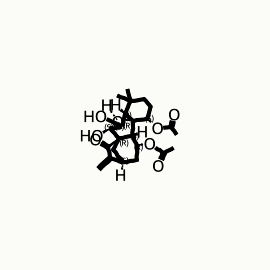 C=C1C(=O)[C@]23C[C@H]1C[C@@H](OC(C)=O)[C@H]2[C@@]12CO[C@]3(O)[C@@H](O)[C@@H]1C(C)(C)CC[C@@H]2OC(C)=O